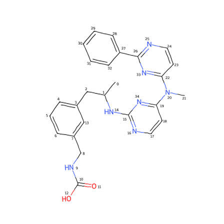 CC(Cc1cccc(CNC(=O)O)c1)Nc1nccc(N(C)c2ccnc(-c3ccccc3)n2)n1